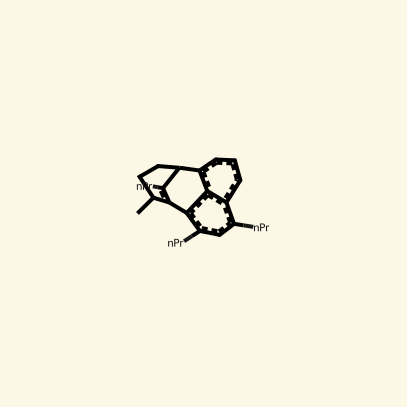 CCCC1=C2c3c(CCC)cc(CCC)c4cccc(c34)C1CCC2C